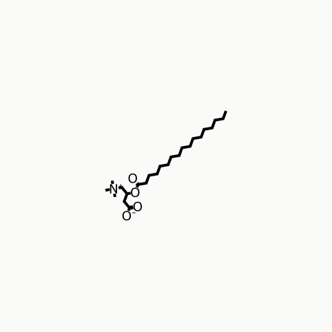 CCCCCCCCCCCCCCCCC(=O)OC(CC(=O)[O-])C[N+](C)(C)C